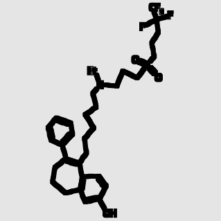 CCN(CCCCCCC1=C(c2ccccc2)CCCc2cc(O)ccc21)CCCS(=O)(=O)CCCC(F)(F)C(F)(F)F